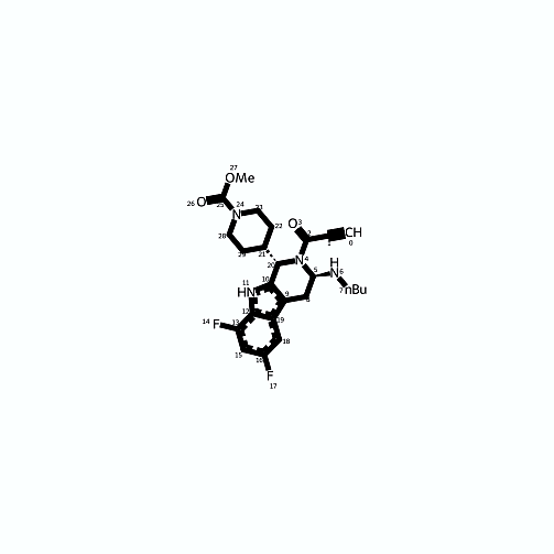 C#CC(=O)N1[C@@H](NCCCC)Cc2c([nH]c3c(F)cc(F)cc23)[C@@H]1C1CCN(C(=O)OC)CC1